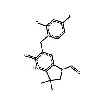 CC1(C)CN(C=O)c2cc(Cc3ccc(F)cc3F)c(=O)[nH]c21